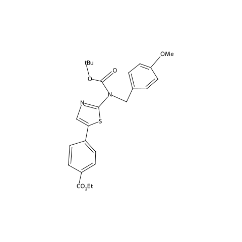 CCOC(=O)c1ccc(-c2cnc(N(Cc3ccc(OC)cc3)C(=O)OC(C)(C)C)s2)cc1